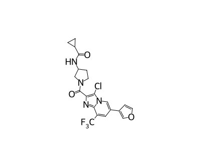 O=C(NC1CCN(C(=O)c2nc3c(C(F)(F)F)cc(-c4ccoc4)cn3c2Cl)C1)C1CC1